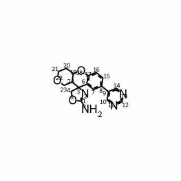 NC1=NC2(CO1)c1cc(-c3cncnc3)ccc1OC1CCOCC12